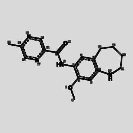 COc1cc2c(cc1NC(=O)c1cnc(C)cn1)CCCCN2